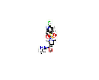 CNC(=O)[C@@H]1CCN(S(=O)(=O)c2ccc(Cl)nc2)C1